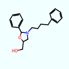 OCC1CN(CCCCc2ccccc2)C(c2ccccc2)O1